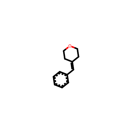 C(=C1CCOCC1)c1ccccc1